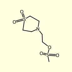 CS(=O)(=O)OCCN1CCS(=O)(=O)CC1